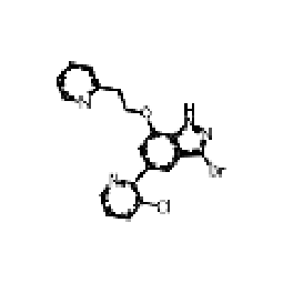 Clc1cccnc1-c1cc(OCCc2ccccn2)c2[nH]nc(Br)c2c1